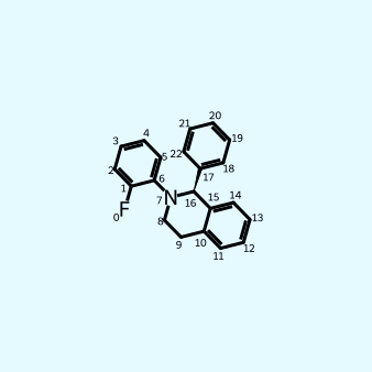 Fc1ccccc1N1CCc2ccccc2[C@@H]1c1ccccc1